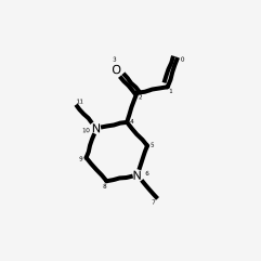 C=CC(=O)C1CN(C)CCN1C